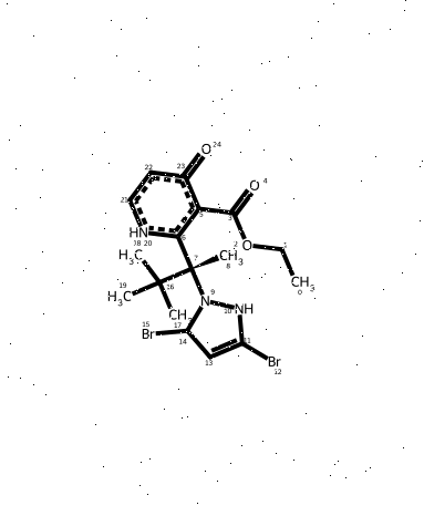 CCOC(=O)c1c([C@](C)(N2NC(Br)=CC2Br)C(C)(C)C)[nH]ccc1=O